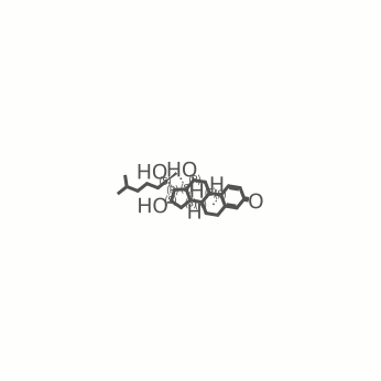 CC(C)CCC[C@](C)(O)[C@H]1[C@@H](O)C[C@H]2[C@@H]3CCC4=CC(=O)C=C[C@]4(C)[C@H]3C[C@@H](O)[C@@]21C